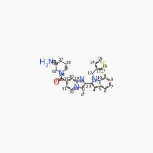 Cc1c(-c2cc3ccccc3n2Cc2ccsc2)nc2cc(C(=O)N3CCCC(N)C3)ccn12